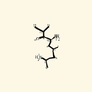 CC(N)CC(C)C[C@H](N)C(=O)C(C)C